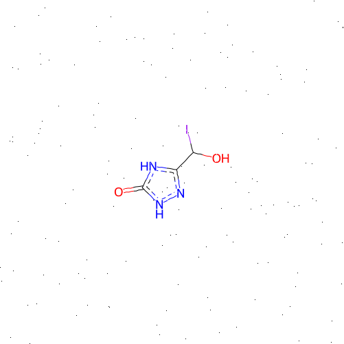 O=c1[nH]nc(C(O)I)[nH]1